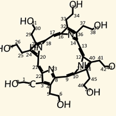 OCCC1=C(CCO)c2cc3[nH]c(cc4nc(cc5[nH]c(cc1n2)c(CCO)c5CCO)C(CCO)=C4CCO)c(CCO)c3CCO